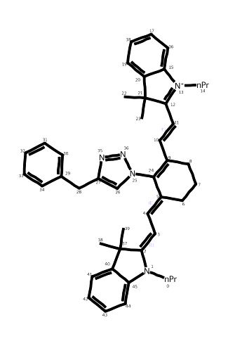 CCCN1/C(=C/C=C2\CCCC(/C=C/C3=[N+](CCC)c4ccccc4C3(C)C)=C2n2cc(Cc3ccccc3)nn2)C(C)(C)c2ccccc21